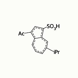 CC(=O)c1cc(S(=O)(=O)O)c2cc(C(C)C)cccc1-2